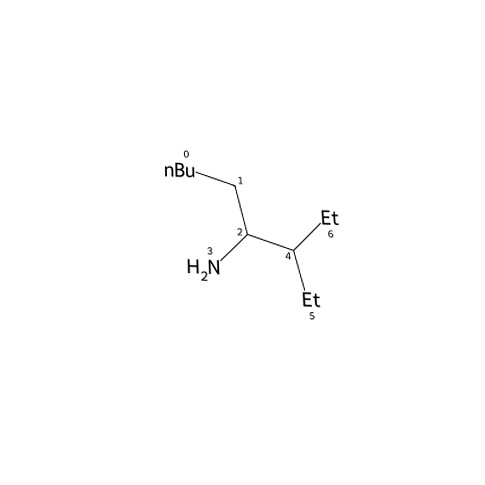 CCCCCC(N)C(CC)CC